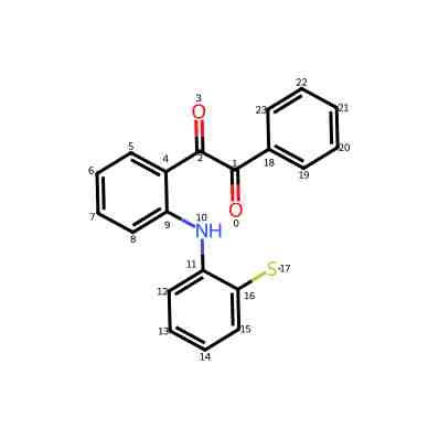 O=C(C(=O)c1ccccc1Nc1ccccc1[S])c1ccccc1